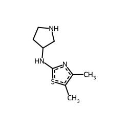 Cc1nc(NC2CCNC2)sc1C